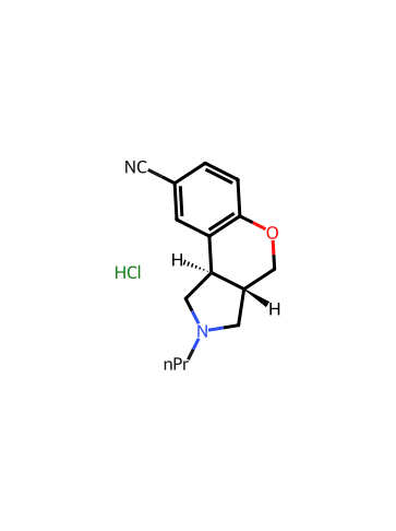 CCCN1C[C@H]2COc3ccc(C#N)cc3[C@@H]2C1.Cl